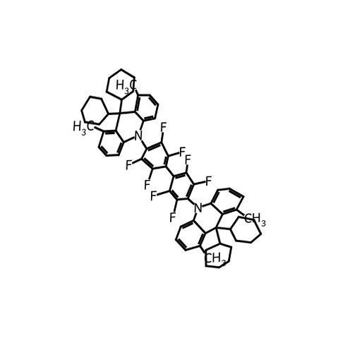 Cc1cccc2c1C(C1CCCCC1)(C1CCCCC1)c1c(C)cccc1N2c1c(F)c(F)c(-c2c(F)c(F)c(N3c4cccc(C)c4C(C4CCCCC4)(C4CCCCC4)c4c(C)cccc43)c(F)c2F)c(F)c1F